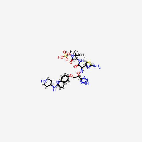 CC1(C)C(NC(=O)/C(=N\OC(COc2ccc3nc(NC4CCNCC4)ccc3c2)c2nn[nH]n2)c2csc(N)n2)C(=O)N1OS(=O)(=O)O